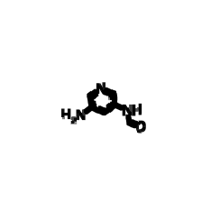 Nc1cncc(NC=O)c1